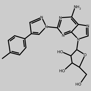 Cc1ccc(-c2cnn(-c3nc(N)c4ncn(C5OC(CO)C(O)C5O)c4n3)c2)cc1